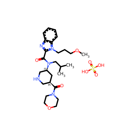 COCCCn1c(C(=O)N(CC(C)C)[C@@H]2CNC[C@H](C(=O)N3CCOCC3)C2)nc2ccccc21.O=S(=O)(O)O